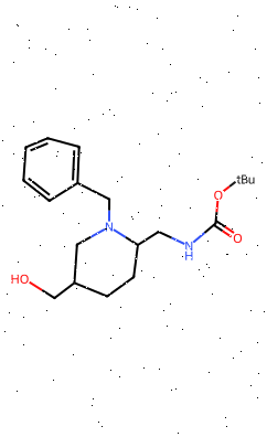 CC(C)(C)OC(=O)NCC1CCC(CO)CN1Cc1ccccc1